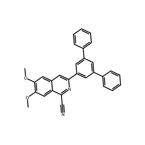 COc1cc2cc(-c3cc(-c4ccccc4)cc(-c4ccccc4)c3)nc(C#N)c2cc1OC